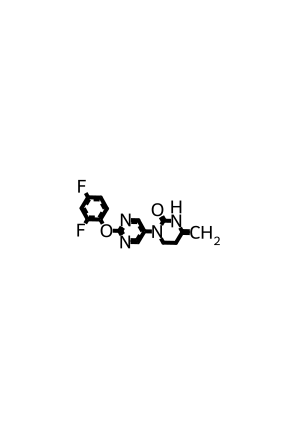 C=C1CCN(c2cnc(Oc3ccc(F)cc3F)nc2)C(=O)N1